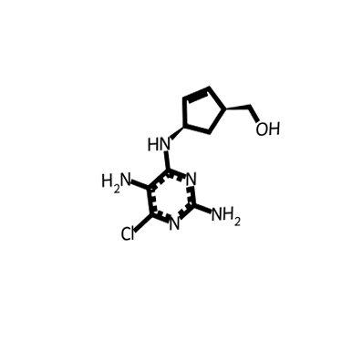 Nc1nc(Cl)c(N)c(N[C@H]2C=C[C@@H](CO)C2)n1